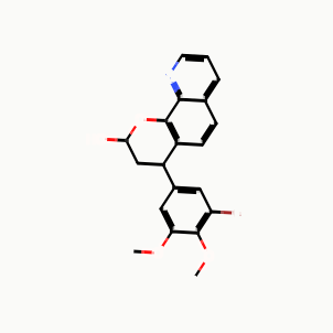 COc1cc(C2CC(O)Oc3c2ccc2cccnc32)cc(Br)c1OC